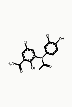 CC(=O)N(c1ccc(O)c(Cl)c1)c1cc(Cl)cc(C(N)=O)c1O